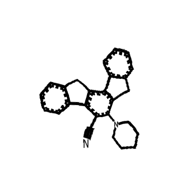 N#Cc1c2c(c3c(c1N1CCCCC1)Cc1ccccc1-3)Cc1ccccc1-2